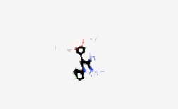 COc1ccc(-c2cc(-c3ccc(F)cc3)nc(N)c2C#N)cc1OC